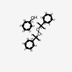 CC(C)(OOC(C)(C)c1ccccc1)c1ccccc1.Oc1ccccc1